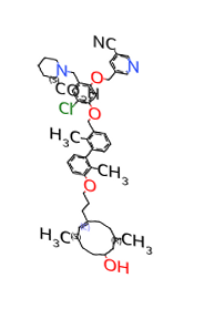 Cc1c(COc2cc(OCc3cncc(C#N)c3)c(CN3CCCC[C@H]3C(=O)O)cc2Cl)cccc1-c1cccc(OCCC/C2=C/[C@@H](C)CCC(O)C[C@H](C)CC2)c1C